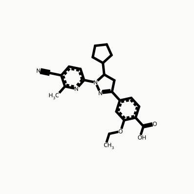 CCOc1cc(C2=NN(c3ccc(C#N)c(C)n3)C(C3CCCC3)C2)ccc1C(=O)O